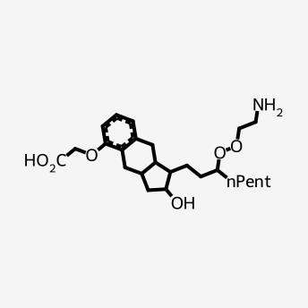 CCCCCC(CCC1C(O)CC2Cc3c(cccc3OCC(=O)O)CC21)OOCCN